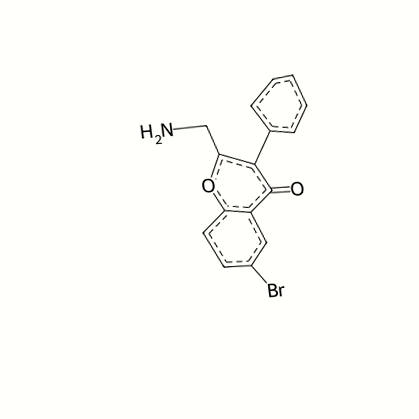 NCc1oc2ccc(Br)cc2c(=O)c1-c1ccccc1